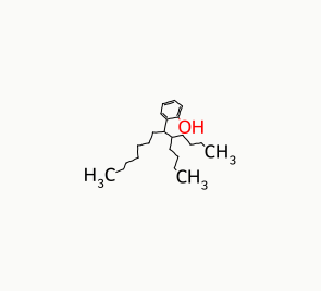 CCCCCCCC(c1ccccc1O)C(CCCC)CCCC